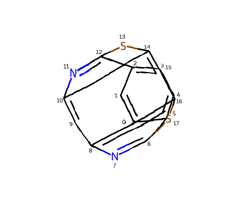 c1cc2ccc1-c1nc3cc4nc-2sc4cc3s1